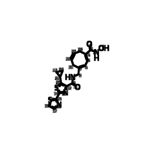 O=C(NO)/C1=C/C=C(/CNC(=O)c2nc(-c3nccs3)sc2C2CC2)CC#CC1